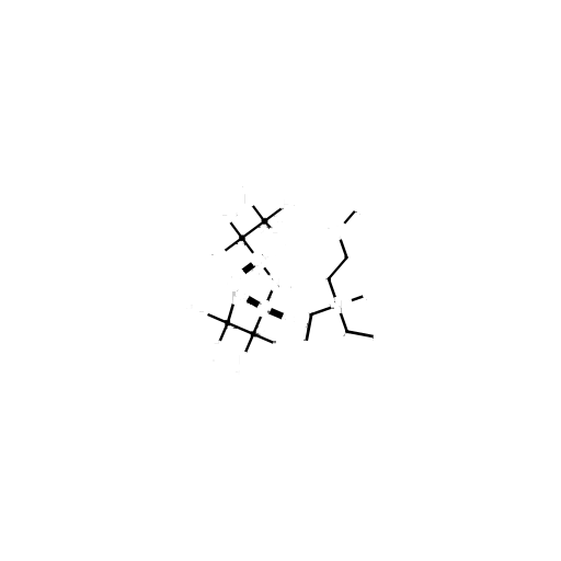 CC[N+](C)(CC)CCOC.O=S(=O)([N-]S(=O)(=O)C(F)(F)C(F)(F)F)C(F)(F)C(F)(F)F